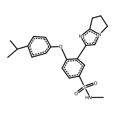 CNS(=O)(=O)c1ccc(Oc2ccc(C(C)C)cc2)c(-c2cn3c(n2)CCC3)c1